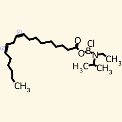 CCCCC/C=C\C/C=C\CCCCCCCC(=O)OB(Cl)N(CC)C(C)C